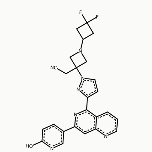 N#CCC1(n2ccc(-c3nc(-c4ccc(O)nc4)cc4ncccc34)n2)CN(C2CC(F)(F)C2)C1